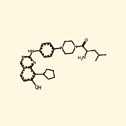 CC(C)CC(N)C(=O)N1CCN(c2ccc(Nc3ncc4ccc(O)c(C5CCCC5)c4n3)cc2)CC1